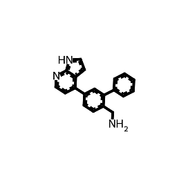 NCc1ccc(-c2ccnc3[nH]ccc23)cc1-c1ccccc1